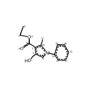 CCOC(=O)c1c(O)cn(-c2ccccc2)c1C